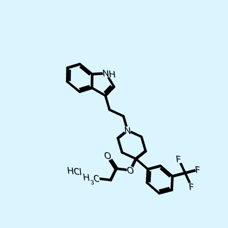 CCC(=O)OC1(c2cccc(C(F)(F)F)c2)CCN(CCc2c[nH]c3ccccc23)CC1.Cl